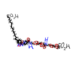 O=C(O)CCCCCCCCCCCCCCCc1ccc(S(=O)(=O)Nc2ccc(C(=O)NCCOCCOCC(=O)NCCOCCOCC(=O)O)cn2)cc1